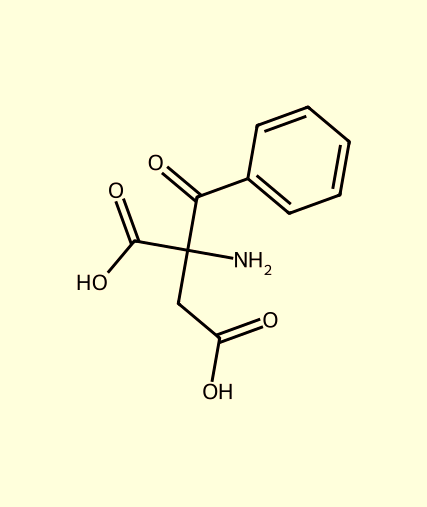 NC(CC(=O)O)(C(=O)O)C(=O)c1ccccc1